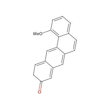 COc1cccc2ccc3cc4c(cc3c12)=CCC(=O)C=4